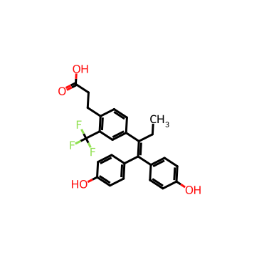 CCC(=C(c1ccc(O)cc1)c1ccc(O)cc1)c1ccc(CCC(=O)O)c(C(F)(F)F)c1